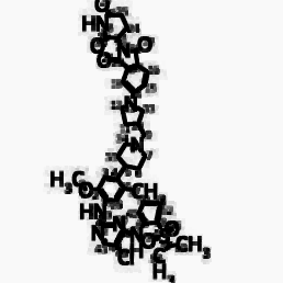 COc1cc(C2CCN(CC3CCN(c4ccc5c(c4)C(=O)N(C4CCC(=O)NC4=O)C5=O)C3)CC2)c(C)cc1Nc1ncc(Cl)c(Nc2ccccc2S(=O)(=O)C(C)C)n1